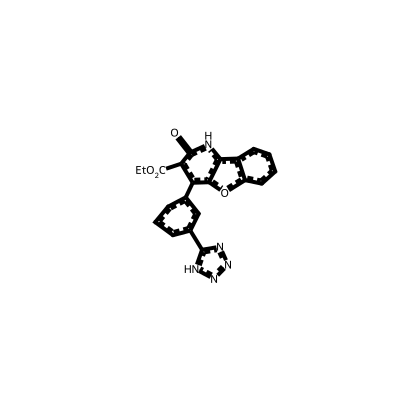 CCOC(=O)c1c(-c2cccc(-c3nnn[nH]3)c2)c2oc3ccccc3c2[nH]c1=O